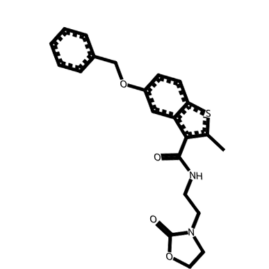 Cc1sc2ccc(OCc3ccccc3)cc2c1C(=O)NCCN1CCOC1=O